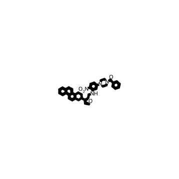 O=C(c1ccccc1)N1CCN(c2ccc([N+](=O)[O-])c(NCc3occc3C3CCc4c(ccc5c4ccc4ccccc45)C3)c2)CC1